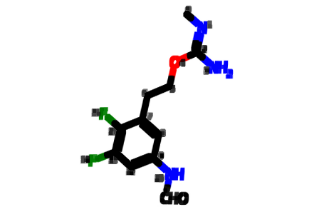 C/N=C(/N)OCCc1cc(NC=O)cc(F)c1F